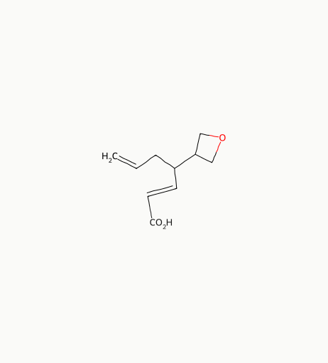 C=CCC(/C=C/C(=O)O)C1COC1